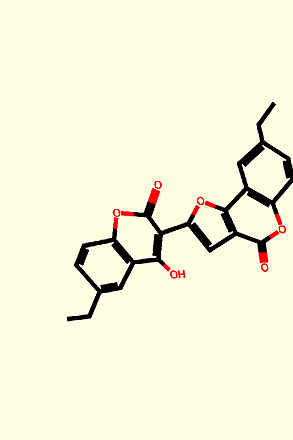 CCc1ccc2oc(=O)c(-c3cc4c(=O)oc5ccc(CC)cc5c4o3)c(O)c2c1